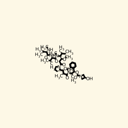 CC[C@H](C)[C@@H](C(CC(=O)N1CCC[C@H]1[C@H](OC)[C@@H](C)C(=O)N[C@H](C)[C@@H](OC(=O)N1CC(O)C1)c1ccccc1)OC)N(C)C(=O)[C@@H](NC(=O)[C@@H](NC)C(C)C)C(C)C